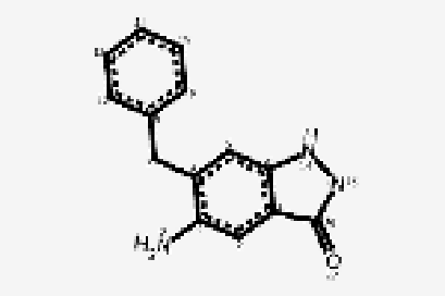 Nc1cc2c(cc1Cc1ccccc1)N[N]C2=O